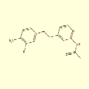 CC(=O)Nc1cc(CCc2ccc(N)c(F)c2)ccn1